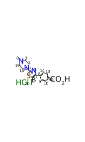 CN1CCN(c2nc(-c3ccc(C(=O)O)cc3)c(F)s2)CC1.Cl